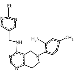 CCc1ncc(CNc2ncnc3c2CN(c2ccc(C)cc2N)CC3)cn1